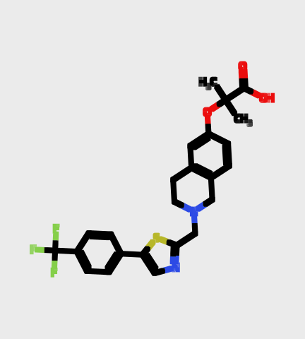 CC(C)(Oc1ccc2c(c1)CCN(Cc1ncc(-c3ccc(C(F)(F)F)cc3)s1)C2)C(=O)O